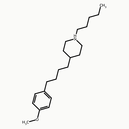 CCCCC[SiH]1CCC(CCCCc2ccc(OC)cc2)CC1